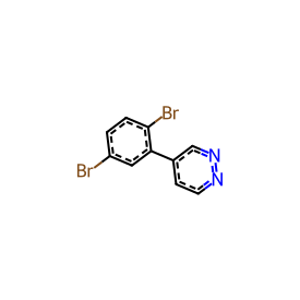 Brc1ccc(Br)c(-c2ccnnc2)c1